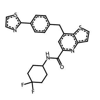 O=C(NC1CCC(F)(F)CC1)c1cc(Cc2ccc(-c3nccs3)cc2)c2sccc2n1